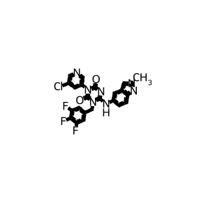 Cn1cc2cc(Nc3nc(=O)n(-c4cncc(Cl)c4)c(=O)n3Cc3cc(F)c(F)c(F)c3)ccc2n1